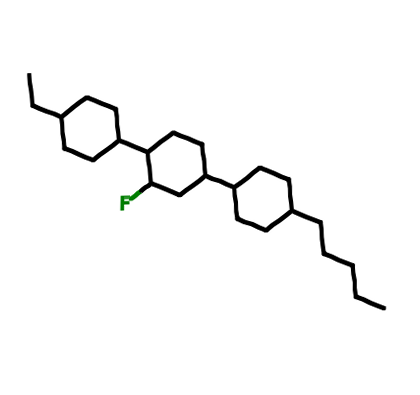 CCCCCC1CCC(C2CCC(C3CCC(CC)CC3)C(F)C2)CC1